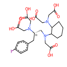 O=C(O)CN(CC(=O)O)C1CCCCC1N(CC(=O)O)C[C@H](Cc1ccc(I)cc1)N(CC(=O)O)CC(=O)O